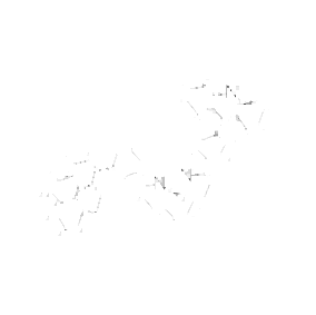 c1cc(-c2ccc3ccc4ccc(-c5ccc(-c6c7ccccc7nc7ccccc67)cc5)nc4c3n2)cc(-c2ccc3ccc4cccc5ccc2c3c45)c1